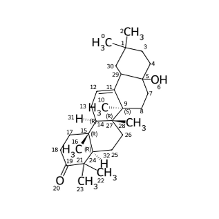 CC1(C)CCC2(O)CC[C@]3(C)C(=CC[C@@H]4[C@@]5(C)CCC(=O)C(C)(C)[C@@H]5CC[C@]43C)C2C1